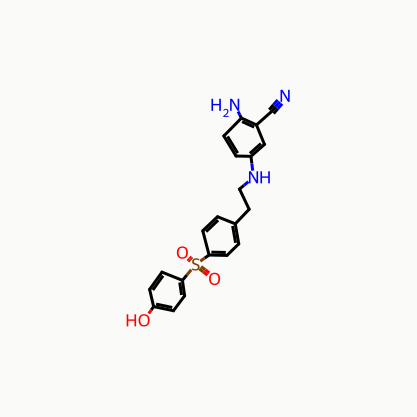 N#Cc1cc(NCCc2ccc(S(=O)(=O)c3ccc(O)cc3)cc2)ccc1N